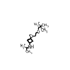 CC(C)NC1CC(OCCOCC(C)(C)C)C1